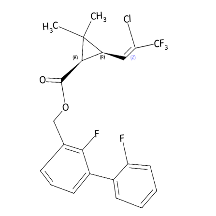 CC1(C)[C@H](C(=O)OCc2cccc(-c3ccccc3F)c2F)[C@@H]1/C=C(\Cl)C(F)(F)F